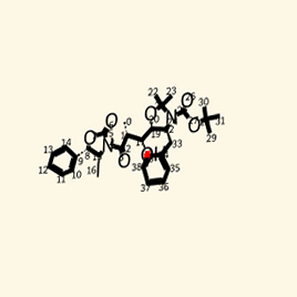 C[C@@H](C(=O)N1C(=O)O[C@@H](c2ccccc2)[C@H]1I)[C@@H](O)[C@@H]1OC(C)(C)N(C(=O)OC(C)(C)C)[C@H]1Cc1ccccc1